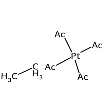 CC.C[C](=O)[Pt]([C](C)=O)([C](C)=O)[C](C)=O